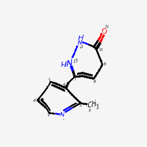 Cc1ncccc1C1=CCC(=O)NN1